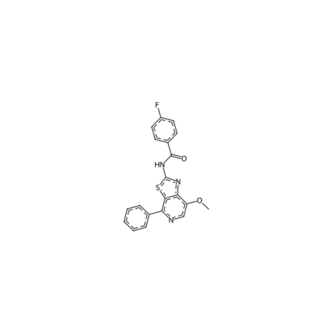 COc1cnc(-c2ccccc2)c2sc(NC(=O)c3ccc(F)cc3)nc12